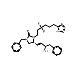 O=C1N(Cc2ccccc2)C[C@H](/C=C/C(O)Cc2ccccc2)N1CCC(F)(F)CCCc1nnn[nH]1